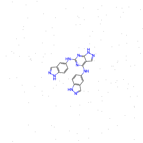 c1cc2[nH]ncc2cc1Nc1nc(Nc2ccc3[nH]ncc3c2)c2cn[nH]c2n1